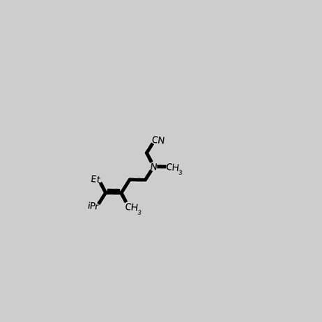 CC/C(=C(/C)CCN(C)CC#N)C(C)C